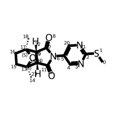 CSc1ncc(N2C(=O)[C@@H]3[C@H](C2=O)[C@@]2(C)CC[C@]3(C)O2)cn1